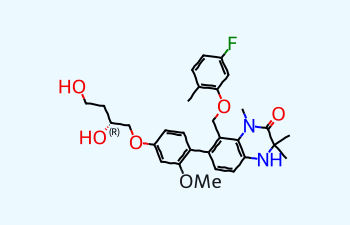 COc1cc(OC[C@H](O)CCO)ccc1-c1ccc2c(c1COc1cc(F)ccc1C)N(C)C(=O)C(C)(C)N2